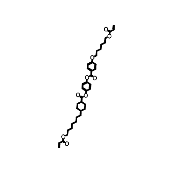 C=CC(=O)OCCCCCCCC1CCC(C(=O)Oc2ccc(OC(=O)c3ccc(OCCCCCCOC(=O)C=C)cc3)cc2)CC1